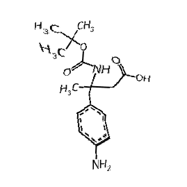 CC(C)(C)OC(=O)NC(C)(CC(=O)O)c1ccc(N)cc1